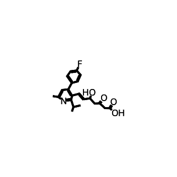 Cc1cc(-c2ccc(F)cc2)c(C=CC(O)CC(=O)CC(=O)O)c(C(C)C)n1